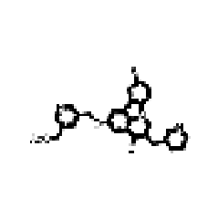 CC(=O)OCc1cncc(COc2cc3c(=O)c(Cc4cccnc4)cn4c5ccc(Br)cc5c(c2)c34)c1